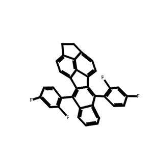 Fc1ccc(-c2c3c(c(-c4ccc(F)cc4F)c4ccccc24)-c2ccc4c5c(ccc-3c25)CC4)c(F)c1